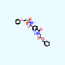 O=C(CNC(=O)c1ccc(C(=O)NS(=O)(=O)CCOc2ccccc2)cn1)OCc1ccccc1